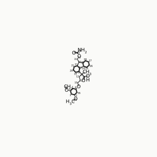 COc1cc(OC)cc(OCCCC(C)(C(=O)O)c2cccc3c2-c2ccccc2C3COC(N)=O)c1